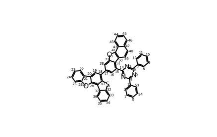 c1ccc(-c2nc(-c3ccccc3)nc(-c3cc(-c4cc5c6ccccc6oc5c5c4sc4ccccc45)cc4oc5c6ccccc6ccc5c34)n2)cc1